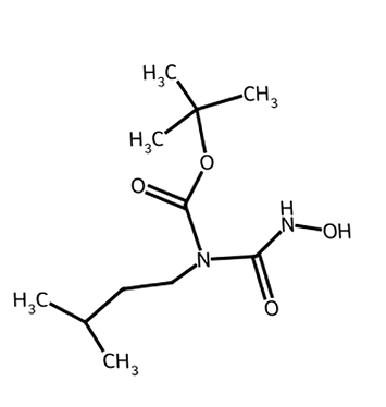 CC(C)CCN(C(=O)NO)C(=O)OC(C)(C)C